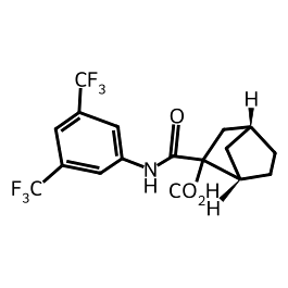 O=C(O)C1(C(=O)Nc2cc(C(F)(F)F)cc(C(F)(F)F)c2)C[C@@H]2CC[C@H]1C2